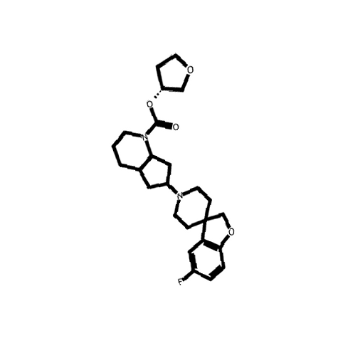 O=C(O[C@@H]1CCOC1)N1CCCC2CC(N3CCC4(CC3)COc3ccc(F)cc34)CC21